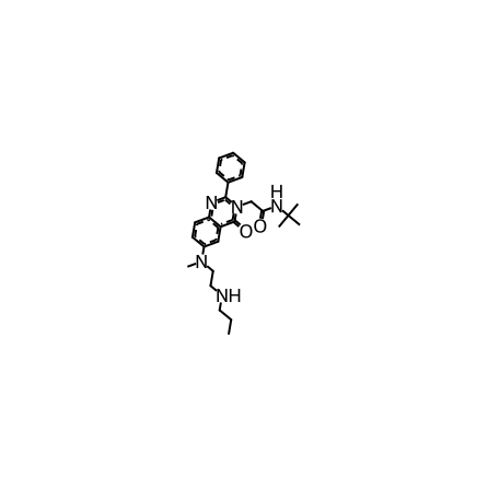 CCCNCCN(C)c1ccc2nc(-c3ccccc3)n(CC(=O)NC(C)(C)C)c(=O)c2c1